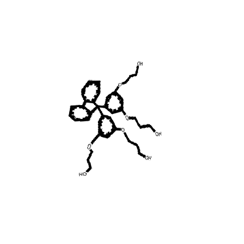 OCCCOc1cc(OCCCO)cc(C2(c3cc(OCCCO)cc(OCCCO)c3)c3ccccc3-c3ccccc32)c1